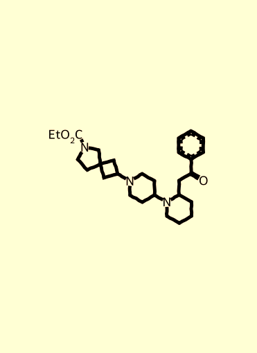 CCOC(=O)N1CCC2(CC(N3CCC(N4CCCCC4CC(=O)c4ccccc4)CC3)C2)C1